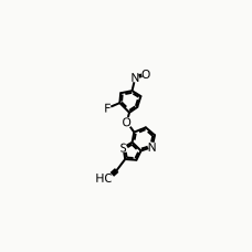 C#Cc1cc2nccc(Oc3ccc(N=O)cc3F)c2s1